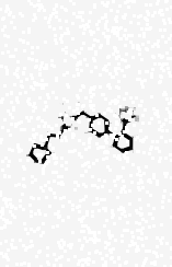 CCCCCn1nc(CCc2ccccc2)nc1Cc1ccc(-c2ccccc2-c2nnn[nH]2)cc1